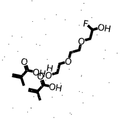 C=C(C)C(=O)O.C=C(C)C(=O)O.OCCOCCOCC(O)F